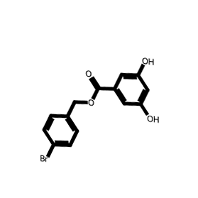 O=C(OCc1ccc(Br)cc1)c1cc(O)cc(O)c1